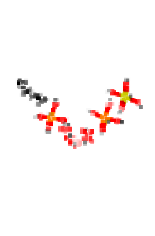 O.O.O.O.O.O=P([O-])([O-])[O-].O=P([O-])([O-])[O-].O=S(=O)([O-])[O-].[Ca+2].[Ca+2].[Ca+2].[Ca+2]